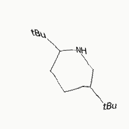 CC(C)(C)C1CCC(C(C)(C)C)NC1